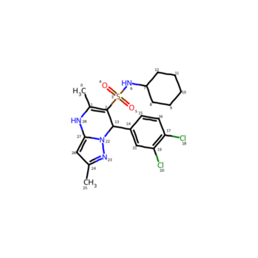 CC1=C(S(=O)(=O)NC2CCCCC2)C(c2ccc(Cl)c(Cl)c2)n2nc(C)cc2N1